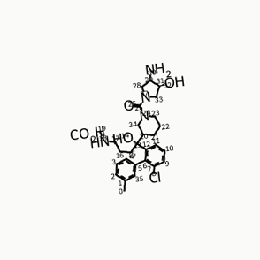 Cc1cccc(-c2c(Cl)cccc2[C@](O)(CCCNC(=O)O)[C@@H]2CCCN(C(=O)N3C[C@@H](N)[C@@H](O)C3)C2)c1